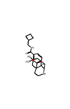 O=C(NCC1CCC1)c1ccc2c(c1O)C13CCNC(C2)C1(O)CCC(O)C3